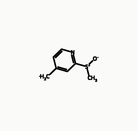 [CH2]c1ccnc([S+](C)[O-])c1